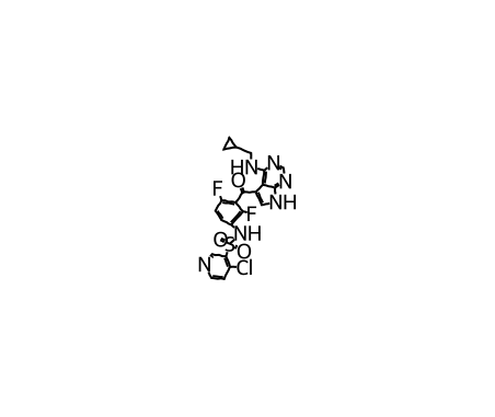 O=C(c1c(F)ccc(NS(=O)(=O)c2cnccc2Cl)c1F)c1c[nH]c2ncnc(NCC3CC3)c12